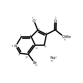 COC(=O)C1=C([O-])c2cncc(Br)c2C1.[Na+]